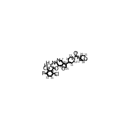 C[C@@H](Oc1c(N)ncc2c(C3=CCN(C(=O)N4CC5CC4CO5)CC3)coc12)c1c(Cl)ccc(F)c1Cl